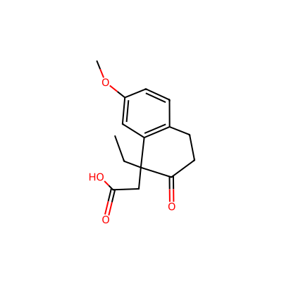 CCC1(CC(=O)O)C(=O)CCc2ccc(OC)cc21